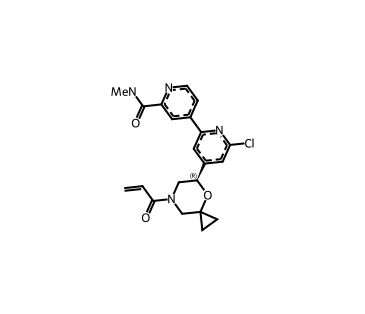 C=CC(=O)N1C[C@@H](c2cc(Cl)nc(-c3ccnc(C(=O)NC)c3)c2)OC2(CC2)C1